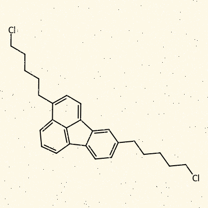 ClCCCCCc1ccc2c(c1)-c1ccc(CCCCCCl)c3cccc-2c13